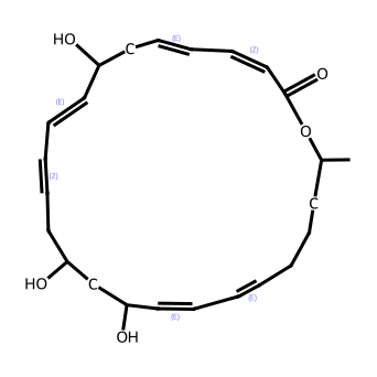 CC1CCC/C=C/C=C/C(O)CC(O)C/C=C\C=C\C(O)C/C=C/C=C\C(=O)O1